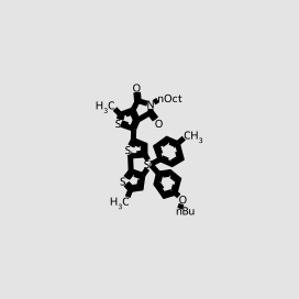 CCCCCCCCN1C(=O)c2c(C)sc(-c3cc4c(s3)-c3sc(C)cc3[Si]4(c3ccc(C)cc3)c3ccc(OCCCC)cc3)c2C1=O